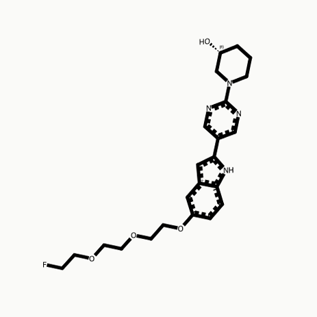 O[C@@H]1CCCN(c2ncc(-c3cc4cc(OCCOCCOCCF)ccc4[nH]3)cn2)C1